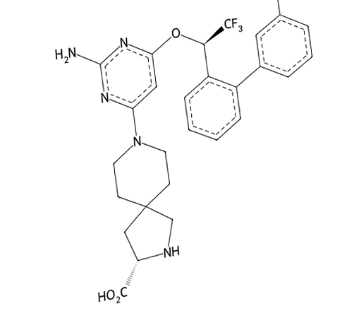 Nc1nc(O[C@H](c2ccccc2-c2cccc(Cl)c2)C(F)(F)F)cc(N2CCC3(CC2)CN[C@H](C(=O)O)C3)n1